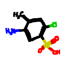 Cc1cc(Cl)c(S(=O)(=O)O)cc1N